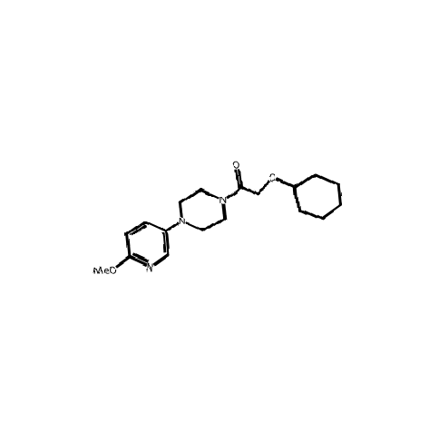 COc1ccc(N2CCN(C(=O)COC3CCCCC3)CC2)cn1